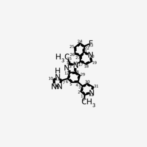 Cc1cc(-c2cc(-c3nnc[nH]3)c3nc(C)n(-c4ccnc5c(F)cccc45)c3c2)ccn1